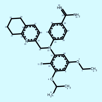 CCOc1cc(OC(C)C)c(F)c(N(Cc2ccc3c(n2)CCCC3)c2ccc(C(=N)N)cc2)c1